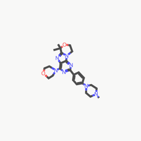 CN1CCN(c2ccc(-c3nc(N4CCOCC4)c4nc5n(c4n3)CCOC5(C)C)cc2)CC1